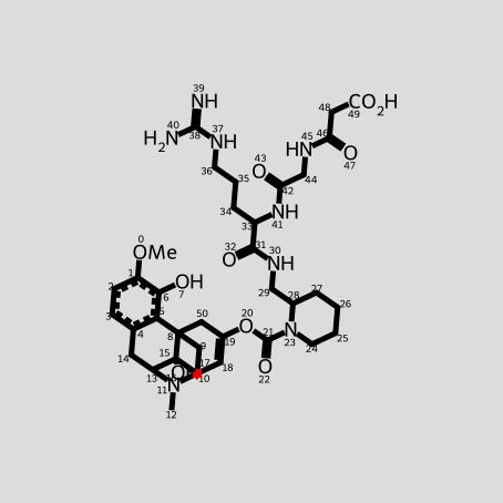 COc1ccc2c(c1O)C13CCN(C)C(C2)C1(O)CC=C(OC(=O)N1CCCCC1CNC(=O)C(CCCNC(=N)N)NC(=O)CNC(=O)CC(=O)O)C3